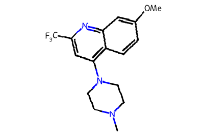 COc1ccc2c(N3CCN(C)CC3)cc(C(F)(F)F)nc2c1